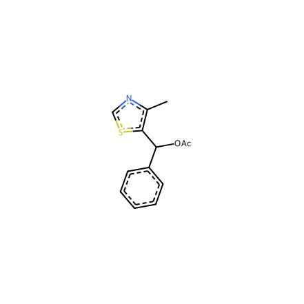 CC(=O)OC(c1ccccc1)c1scnc1C